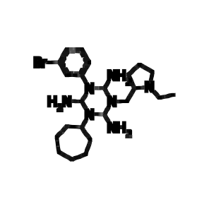 CCN1CCCC1CN1C(N)N(c2cccc(Br)c2)C(N)N(C2CCCCCC2)C1N